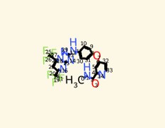 CNC(=O)c1cc(Oc2ccc(Nc3nc4nc(C(F)(F)F)cc(C(F)(F)F)n4n3)cc2)ccn1